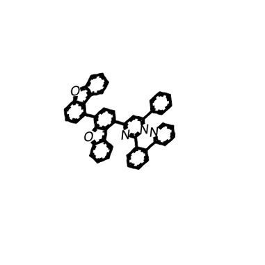 c1ccc(-c2cc(-c3ccc(-c4cccc5oc6ccccc6c45)c4oc5ccccc5c34)nc(-c3ccccc3-c3ccccn3)n2)cc1